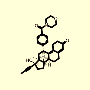 CC#C[C@]1(O)CC[C@H]2[C@@H]3CCC4=CC(=O)CCC4=C3[C@@H](c3ccc(C(=O)N4CCOCC4)cc3)C[C@@]21C